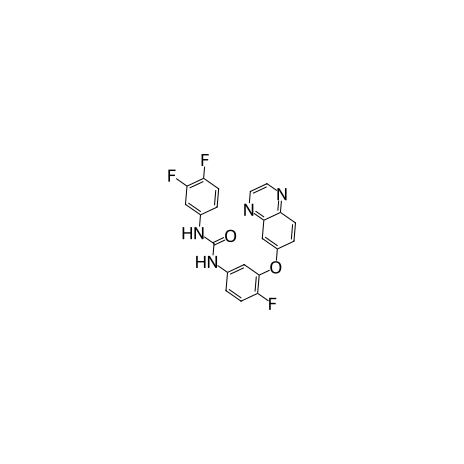 O=C(Nc1ccc(F)c(F)c1)Nc1ccc(F)c(Oc2ccc3nccnc3c2)c1